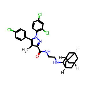 Cc1c(C(=O)NCCNC2[C@H]3C[C@@H]4C[C@@H](C[C@H]2C4)C3)nn(-c2ccc(Cl)cc2Cl)c1-c1ccc(Cl)cc1